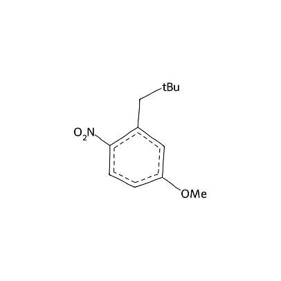 [CH2]C(C)(C)Cc1cc(OC)ccc1[N+](=O)[O-]